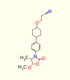 COC1OC(=O)N(c2ccc(C3CCC(OCCC#N)CC3)cc2)C1C